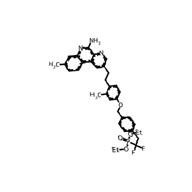 CCOP(=O)(OCC)C(F)(F)Cc1ccc(COc2ccc(CCc3cnc4c(N)nc5cc(C)ccc5c4c3)c(C)c2)cc1